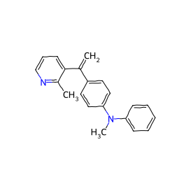 C=C(c1ccc(N(C)c2ccccc2)cc1)c1cccnc1C